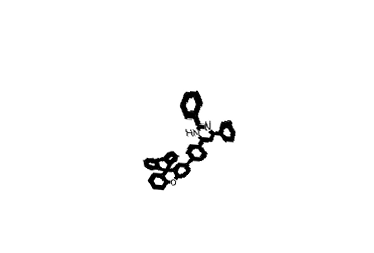 C1=C(c2ccc(-c3ccc4c(c3)C3(c5ccccc5O4)c4ccccc4-c4ccccc43)cc2)NC(c2ccccc2)N=C1c1ccccc1